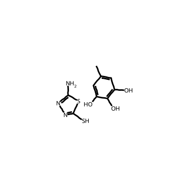 Cc1cc(O)c(O)c(O)c1.Nc1nnc(S)s1